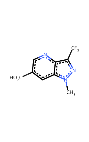 Cn1nc(C(F)(F)F)c2ncc(C(=O)O)cc21